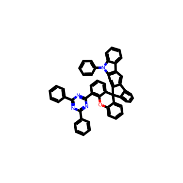 c1ccc(-c2nc(-c3ccccc3)nc(-c3cccc4c3Oc3ccccc3C43c4ccccc4-c4cc5c6ccccc6n(-c6ccccc6)c5cc43)n2)cc1